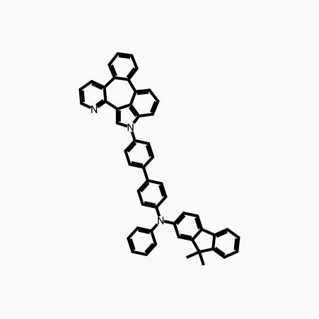 CC1(C)c2ccccc2-c2ccc(N(c3ccccc3)c3ccc(-c4ccc(-n5cc6c7c(cccc75)-c5ccccc5-c5cccnc5-6)cc4)cc3)cc21